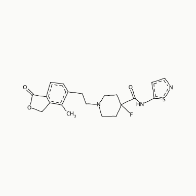 Cc1c(CCN2CCC(F)(C(=O)Nc3ccns3)CC2)ccc2c1COC2=O